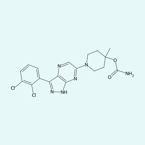 CC1(OC(N)=O)CCN(c2cnc3c(-c4cccc(Cl)c4Cl)n[nH]c3n2)CC1